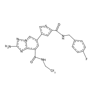 Nc1nc2c(C(=O)NCC(F)(F)F)cc(-c3csc(C(=O)NCc4ccc(F)cc4)c3)cn2n1